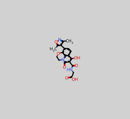 Cc1noc(C)c1-c1ccc2c(O)c(C(=O)NCC(=O)O)c(=O)n3c2c1OCC3